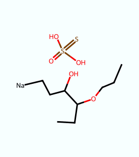 CCCOC(CC)C(O)C[CH2][Na].O=S(O)(O)=S